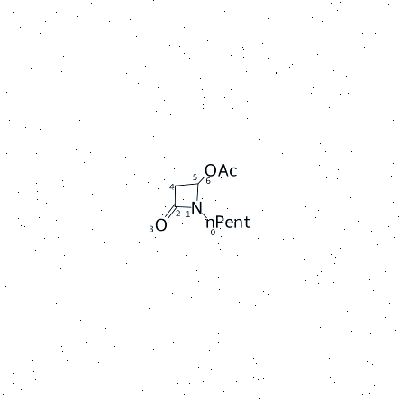 CCCCCN1C(=O)CC1OC(C)=O